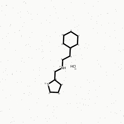 C1CCC(CCNCC2CCCS2)CC1.Cl